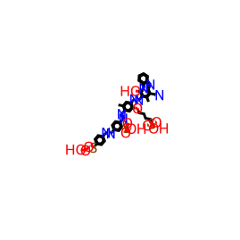 Cc1cc(N=Nc2c(C)c(C#N)c3nc4ccccc4n3c2O)c(OCCCCS(=O)(=O)O)cc1N=Nc1ccc(N=Nc2ccc(SOOO)cc2)cc1S(=O)(=O)O